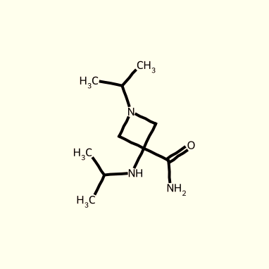 CC(C)NC1(C(N)=O)CN(C(C)C)C1